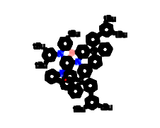 CC(C)(C)c1cc(-c2cccc([Si](c3ccccc3)(c3ccccc3)c3cccc(N4c5cc([Si](c6ccccc6)(c6ccccc6)c6cccc(-c7cc(C(C)(C)C)cc(C(C)(C)C)c7)c6)ccc5B5c6cc(C(C)(C)C)ccc6N(c6cc(C(C)(C)C)cc(C(C)(C)C)c6)c6cc(-n7c8ccccc8c8ccccc87)cc4c65)c3)c2)cc(C(C)(C)C)c1